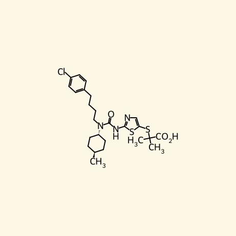 CC(C)(Sc1cnc(NC(=O)N(CCCCc2ccc(Cl)cc2)[C@H]2CC[C@H](C)CC2)s1)C(=O)O